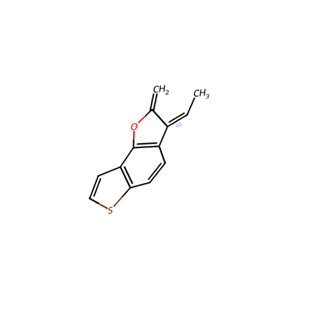 C=c1oc2c(ccc3sccc32)/c1=C/C